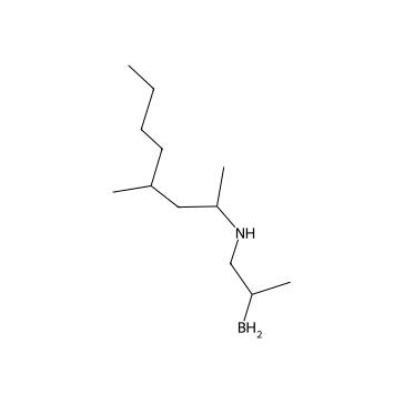 BC(C)CNC(C)CC(C)CCCC